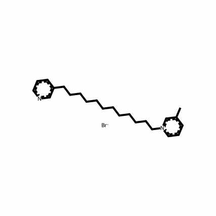 Cc1ccc[n+](CCCCCCCCCCCCc2cccnc2)c1.[Br-]